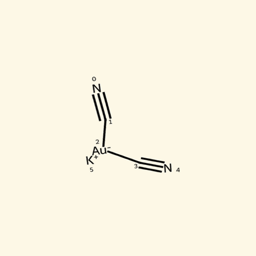 N#[C][Au-][C]#N.[K+]